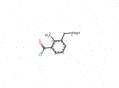 CCCCCCCCc1cccc(C(=O)Cl)c1C